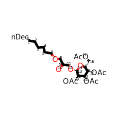 CCCCCCCCCCCCCCCCOCC(=O)CO[C@@H]1O[C@H](COC(C)=O)[C@H](OC(C)=O)[C@H](OC(C)=O)[C@H]1OC(C)=O